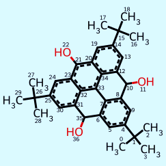 CC(C)(C)c1cc2c3c(c1)C(O)c1cc(C(C)(C)C)cc4c(O)c5cc(C(C)(C)C)cc(c5c-3c14)C2O